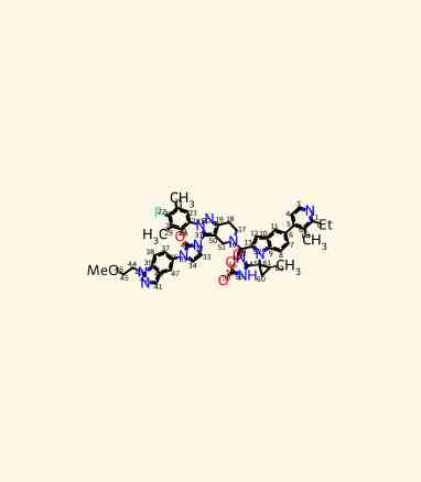 CCc1nccc(-c2ccc3c(c2)cc(C(=O)N2CCc4nn(-c5cc(C)c(F)c(C)c5)c(-n5ccn(-c6ccc7c(cnn7CCOC)c6)c5=O)c4C2)n3[C@@]2(c3noc(=O)[nH]3)C[C@@H]2C)c1C